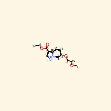 CCOC(=O)c1cnn2cc(OCCOC)ccc12